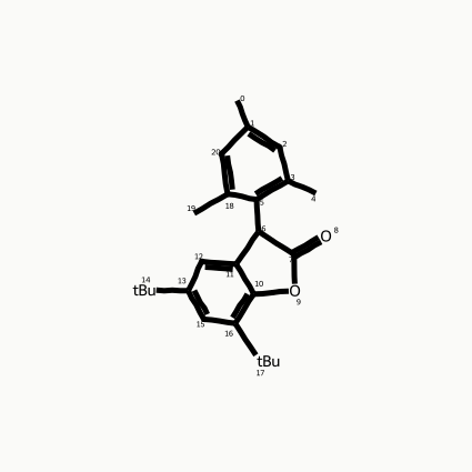 Cc1cc(C)c(C2C(=O)Oc3c2cc(C(C)(C)C)cc3C(C)(C)C)c(C)c1